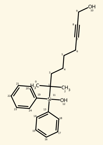 CC(C)(CCCCC#CCO)[Si](O)(c1ccccc1)c1ccccc1